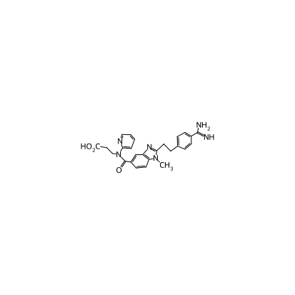 Cn1c(CCc2ccc(C(=N)N)cc2)nc2cc(C(=O)N(CCC(=O)O)c3ccccn3)ccc21